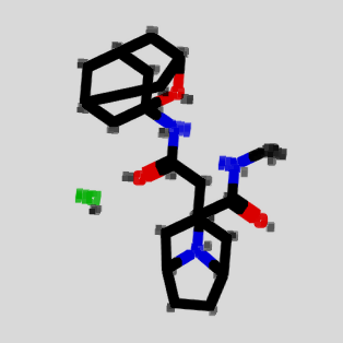 CC(C)(C)NC(=O)CN1C2CCC1CC(CC(=O)NC13CC4CC(CC(C4)O1)C3)C2.Cl